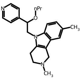 CCCOC(Cn1c2c(c3cc(C)ccc31)CN(C)CC2)c1ccncc1